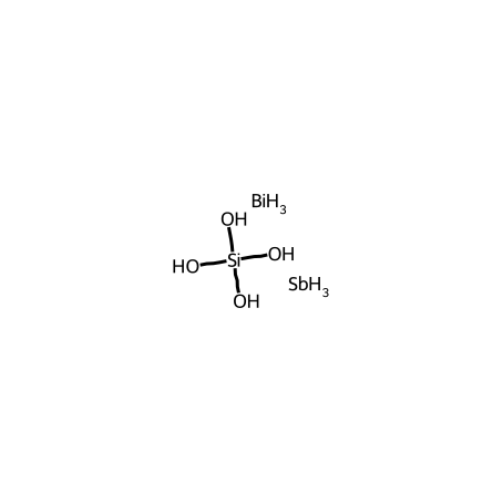 O[Si](O)(O)O.[BiH3].[SbH3]